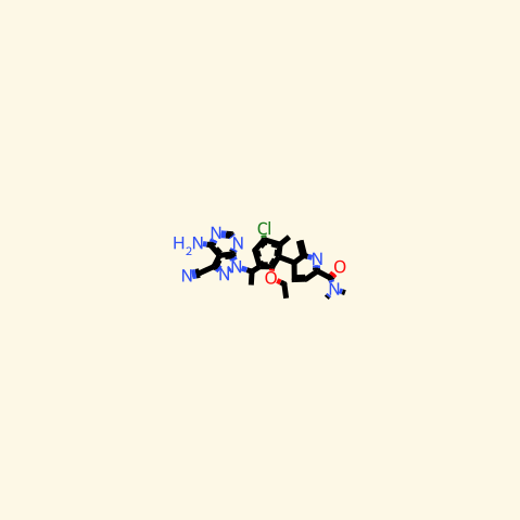 C=C1N=C(C(=O)N(C)C)C=CC1c1c(C)c(Cl)cc(C(C)n2nc(C#N)c3c(N)ncnc32)c1OCC